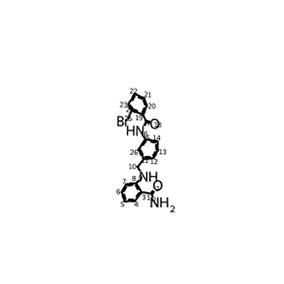 NC(=O)c1ccccc1NCc1cccc(NC(=O)c2ccccc2Br)c1